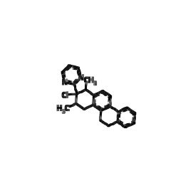 CC1Cc2c(ccc3c2CCc2ccccc2-3)C(C)C1(Cl)c1ncccn1